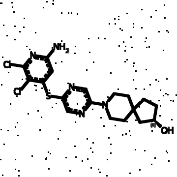 Nc1cc(Sc2cnc(N3CCC4(CC[C@@H](O)C4)CC3)cn2)c(Cl)c(Cl)n1